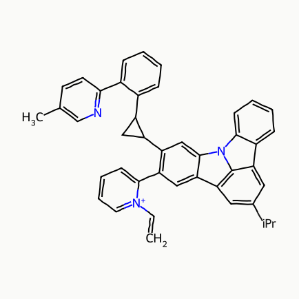 C=C[n+]1ccccc1-c1cc2c3cc(C(C)C)cc4c5ccccc5n(c2cc1C1CC1c1ccccc1-c1ccc(C)cn1)c43